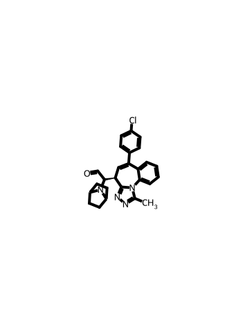 Cc1nnc2n1-c1ccccc1C(c1ccc(Cl)cc1)=C[C@@H]2C(C=O)N1C2CCC1CC2